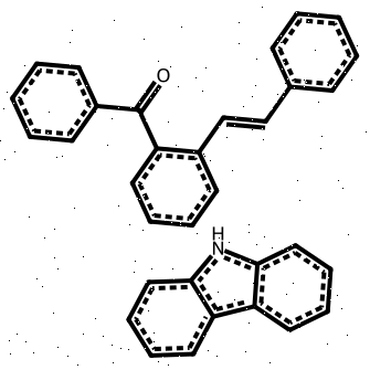 O=C(c1ccccc1)c1ccccc1C=Cc1ccccc1.c1ccc2c(c1)[nH]c1ccccc12